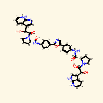 O=C(Nc1ccc(-c2ncc(-c3ccc(NC(=O)[C@@H]4CCCN4C(=O)C(O)c4c[nH]c5ncccc45)cc3)o2)cc1)[C@@H]1CCCN1C(=O)C(O)c1cnc2[nH]cccc1-2